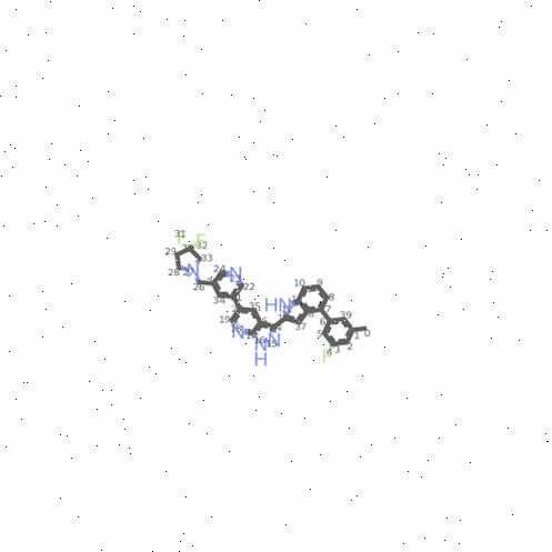 Cc1cc(F)cc(-c2cccc3[nH]c(-c4n[nH]c5ncc(-c6cncc(CN7CCC(F)(F)C7)c6)cc45)cc23)c1